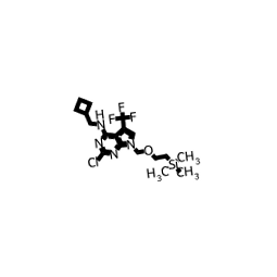 C[Si](C)(C)CCOCn1cc(C(F)(F)F)c2c(NCC3CCC3)nc(Cl)nc21